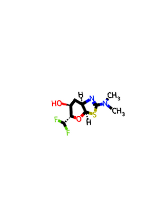 CN(C)C1=N[C@@H]2C[C@H](O)[C@@H](C(F)F)O[C@@H]2S1